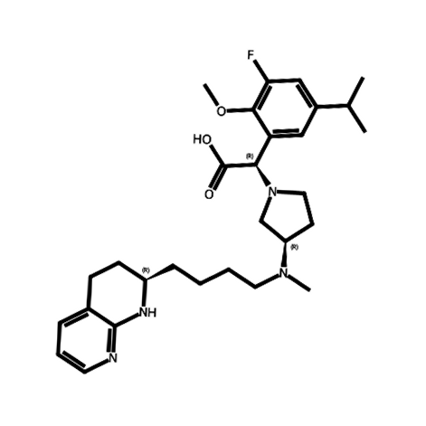 COc1c(F)cc(C(C)C)cc1[C@H](C(=O)O)N1CC[C@@H](N(C)CCCC[C@@H]2CCc3cccnc3N2)C1